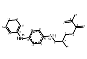 C=C(C)C(=C)CCC(C)CNc1ccc(NC2=CCCC=C2)cc1